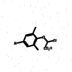 CCC(Oc1c(C)cc(Br)cc1C)C(=O)O